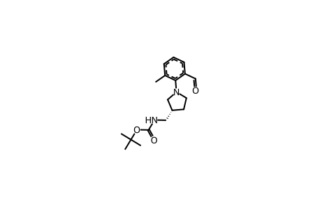 Cc1cccc(C=O)c1N1CC[C@H](CNC(=O)OC(C)(C)C)C1